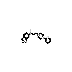 c1ccc(N2CCN(CCNc3ccc4c(c3)OOC4)CC2)nc1